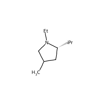 CCN1CC(C)C[C@H]1C(C)C